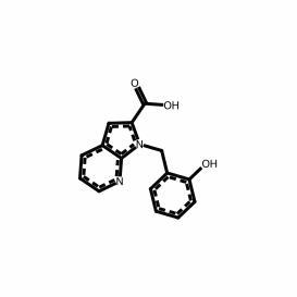 O=C(O)c1cc2cccnc2n1Cc1ccccc1O